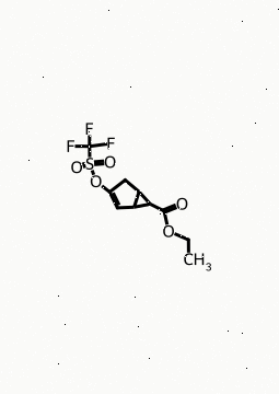 CCOC(=O)C1C2C=C(OS(=O)(=O)C(F)(F)F)CC21